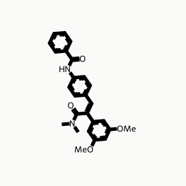 COc1cc(OC)cc(C(=Cc2ccc(NC(=O)c3ccccc3)cc2)C(=O)N(C)C)c1